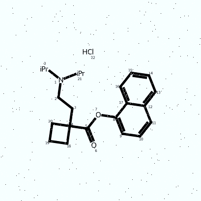 CC(C)N(CCC1(C(=O)Oc2cccc3ccccc23)CCC1)C(C)C.Cl